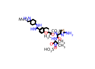 COCC1(N)CCC(NC(=N)c2ccc3c(c2)CC[C@H]([C@](C)(O/N=C(\C(=O)N[C@@H]2C(=O)N(OS(=O)(=O)O)C2(C)C)c2csc(N)n2)C(=O)O)O3)CC1